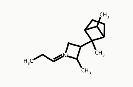 CC/C=[N+]1\CC(C2(C)C3CCC2C3C)C1C